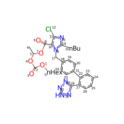 CCCCCCOC(=O)OC(C)OC(=O)c1c(Cl)nc(CCCC)n1Cc1ccc(-c2ccccc2-c2nn[nH]n2)cc1